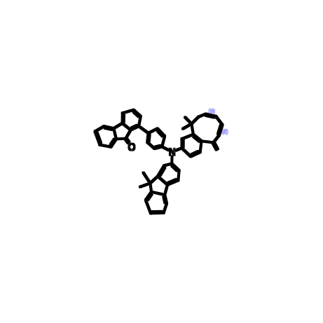 C=C1/C=C\C=C/CC(C)(C)c2cc(N(c3ccc(-c4cccc5c4C(=O)c4ccccc4-5)cc3)c3ccc4c(c3)C(C)(C)c3ccccc3-4)ccc21